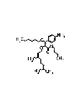 CCCCCCOc1c(OCC=C(C)CCC=C(C)C)c(=O)n(CCCC)c2cc(N)ccc12